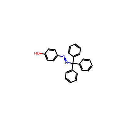 Oc1ccc(N=NC(c2ccccc2)(c2ccccc2)c2ccccc2)cc1